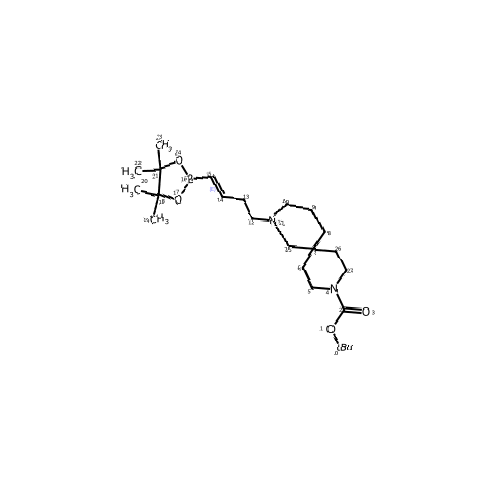 CC(C)(C)OC(=O)N1CCC2(CCCN(CC/C=C/B3OC(C)(C)C(C)(C)O3)C2)CC1